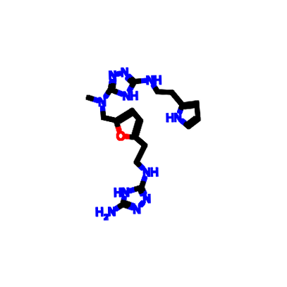 CN(Cc1ccc(CCNc2nnc(N)[nH]2)o1)c1nnc(NCCc2ccc[nH]2)[nH]1